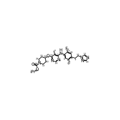 Cc1c(Nc2cc(F)c(CCn3cncn3)cc2F)ncnc1OC1CCN(C(=O)OC(C)C)CC1